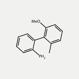 COc1cccc(C)c1-c1ccccc1P